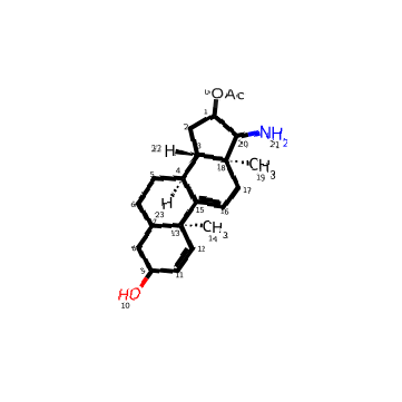 CC(=O)OC1C[C@H]2[C@@H]3CCC4CC(O)C=C[C@]4(C)C3=CC[C@]2(C)C1N